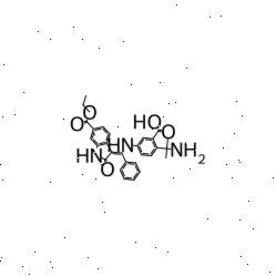 CCOC(=O)c1ccc2c(c1)NC(=O)C2=C(Nc1ccc(C(C)(C)N)c(C(=O)O)c1)c1ccccc1